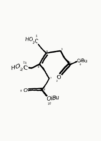 CC(C)COC(=O)CC(C(=O)O)=C(CC(=O)OCC(C)C)C(=O)O